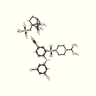 CC(C)N1CCN(S(=O)(=O)c2cc(C#N)ccc2Sc2cc(Cl)cc(Cl)c2)CC1.CC1(C)C2CCC1(CS(=O)(=O)O)C(=O)C2